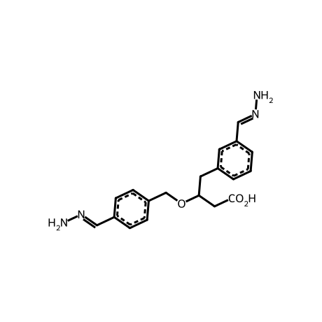 NN=Cc1ccc(COC(CC(=O)O)Cc2cccc(C=NN)c2)cc1